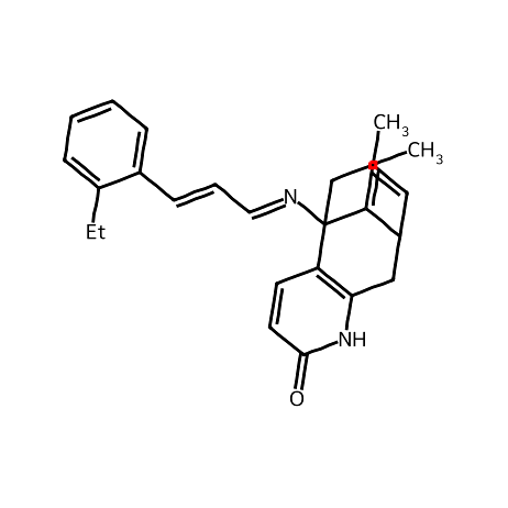 C/C=C1\C2C=C(C)CC1(/N=C/C=C/c1ccccc1CC)c1ccc(=O)[nH]c1C2